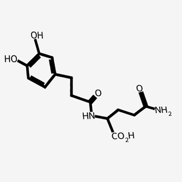 NC(=O)CCC(NC(=O)CCc1ccc(O)c(O)c1)C(=O)O